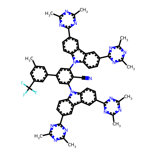 Cc1cc(-c2cc(-n3c4ccc(-c5nc(C)nc(C)n5)cc4c4cc(-c5nc(C)nc(C)n5)ccc43)c(C#N)c(-n3c4ccc(-c5nc(C)nc(C)n5)cc4c4cc(-c5nc(C)nc(C)n5)ccc43)c2)cc(C(F)(F)F)c1